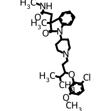 CNC(=O)CC1(C)C(=O)N(C2CCN(CCC(Oc3cc(OC)ccc3Cl)C(C)C)CC2)c2ccccc21